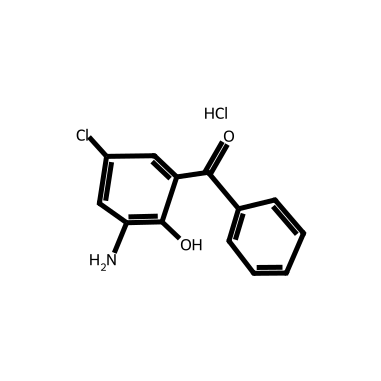 Cl.Nc1cc(Cl)cc(C(=O)c2ccccc2)c1O